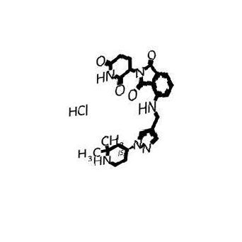 CC1(C)C[C@@H](n2cc(CNc3cccc4c3C(=O)N(C3CCC(=O)NC3=O)C4=O)cn2)CCN1.Cl